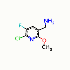 COc1nc(Cl)c(F)cc1CN